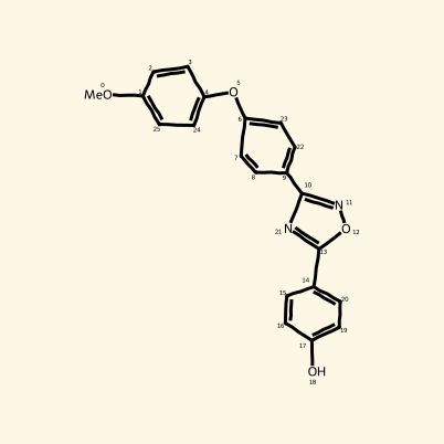 COc1ccc(Oc2ccc(-c3noc(-c4ccc(O)cc4)n3)cc2)cc1